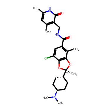 CSc1cc(C)[nH]c(=O)c1CNC(=O)c1cc(Cl)c2c(c1C)O[C@@](C)([C@H]1CC[C@H](N(C)C)CC1)O2